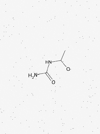 CC([O])NC(N)=O